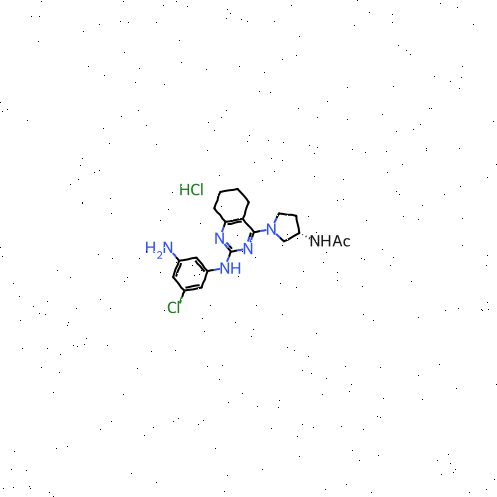 CC(=O)N[C@H]1CCN(c2nc(Nc3cc(N)cc(Cl)c3)nc3c2CCCC3)C1.Cl